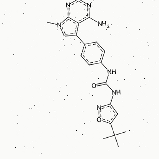 Cn1cc(-c2ccc(NC(=O)Nc3cc(C(C)(C)C)on3)cc2)c2c(N)ncnc21